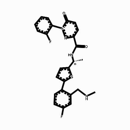 CNCc1cc(F)ccc1-c1ccc([C@@H](C)NC(=O)c2ccc(=O)n(-c3ccccc3F)n2)s1